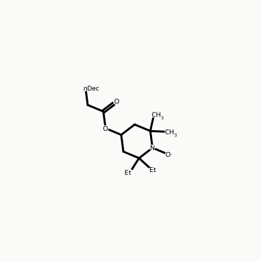 CCCCCCCCCCCC(=O)OC1CC(C)(C)N([O])C(CC)(CC)C1